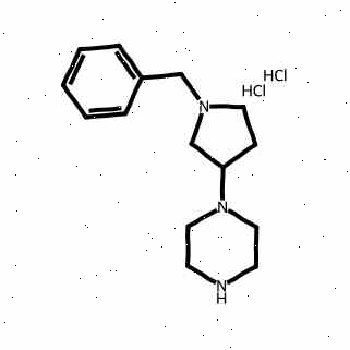 Cl.Cl.c1ccc(CN2CCC(N3CCNCC3)C2)cc1